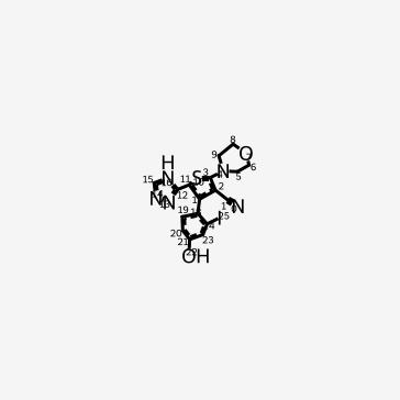 N#Cc1c(N2CCOCC2)sc(-c2nnc[nH]2)c1-c1ccc(O)cc1I